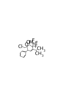 COC1(CCl)CC(F)(C(F)(F)F)C(C(C)C)=CC1c1ccccc1